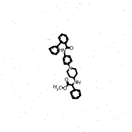 COC(=O)C(NC1CCN(c2ccc(NC(=O)c3ccccc3-c3ccccc3)cc2)CC1)c1ccccc1